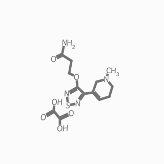 CN1CCC=C(c2nsnc2OCCC(N)=O)C1.O=C(O)C(=O)O